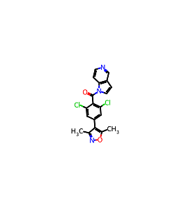 Cc1noc(C)c1-c1cc(Cl)c(C(=O)n2ccc3cnccc32)c(Cl)c1